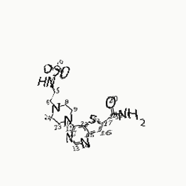 CS(=O)(=O)NCCN1CCN(c2ncnc3cc(C(N)=O)sc23)CC1